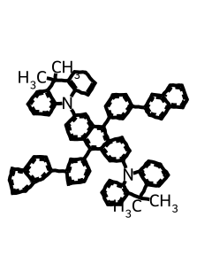 CC1(C)C2=C(C=CCC2)N(c2ccc3c(-c4cccc(-c5ccc6ccccc6c5)c4)c4cc(N5c6ccccc6C(C)(C)c6ccccc65)ccc4c(-c4cccc(-c5ccc6ccccc6c5)c4)c3c2)c2ccccc21